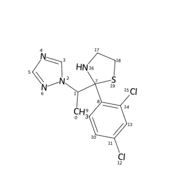 CC(n1cncn1)C1(c2ccc(Cl)cc2Cl)NCCS1